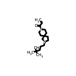 C=CC(=O)N1CCC2(CCN(CCCC(C)(C)C)C2)CC1